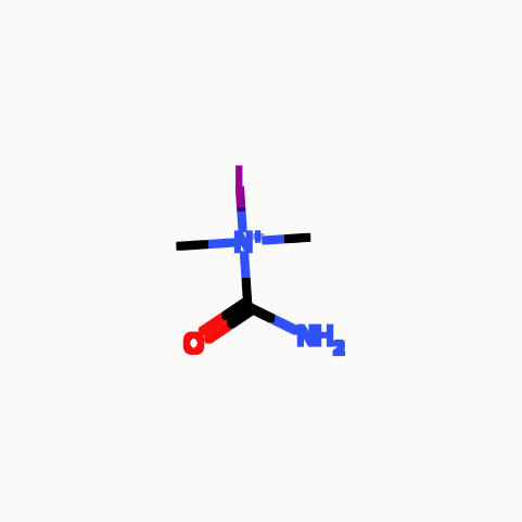 C[N+](C)(I)C(N)=O